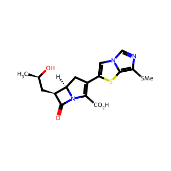 CSc1ncn2cc(C3=C(C(=O)O)N4C(=O)[C@@H](C[C@@H](C)O)[C@H]4C3)sc12